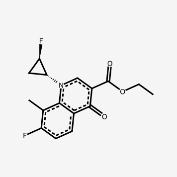 CCOC(=O)c1cn([C@@H]2C[C@H]2F)c2c(C)c(F)ccc2c1=O